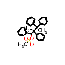 CC(c1ccccc1)(c1ccccc1)C(C)(c1ccccc1)C(OS(C)(=O)=O)c1ccccc1